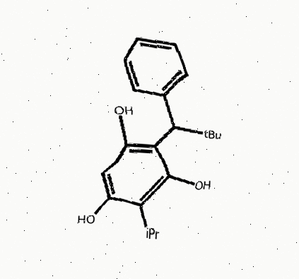 CC(C)c1c(O)cc(O)c(C(c2ccccc2)C(C)(C)C)c1O